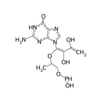 C=C(O)/C(O)=C(/OC(C)COPO)n1cnc2c(=O)[nH]c(N)nc21